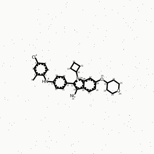 Cc1cc(Cl)ccc1Nc1ccc(-c2c(C#N)c3ccc(OC4CCOCC4)cc3n2C2CCC2)cc1